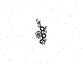 CC(C)(F)COc1cc(F)c2c(c1)[C@@]1(CCOC(N)=N1)c1cc(-c3cccnc3F)ccc1O2